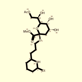 CCC1CCCC(CCCO[C@]2(C(=O)OC)C[C@@H](O)[C@@H](O)C([C@H](O)COC(C)=O)O2)N1